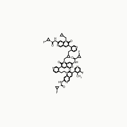 Cc1c(F)cncc1-c1cc2cnc(NC(=O)[C@H]3C[C@@H]3F)cc2n(CCc2ccncc2-c2cc3cnc(NC(=O)C4CC4F)cc3n(CC3CC3Cc3ccncc3-c3cc4cnc(NC(=O)[C@@H]5C[C@@H]5F)cc4n(CC4CC4)c3=O)c2=O)c1=O